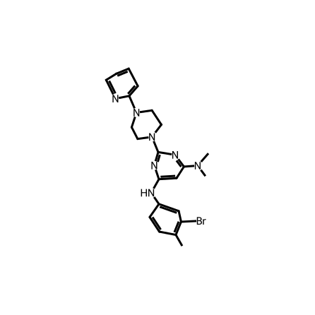 Cc1ccc(Nc2cc(N(C)C)nc(N3CCN(c4ccccn4)CC3)n2)cc1Br